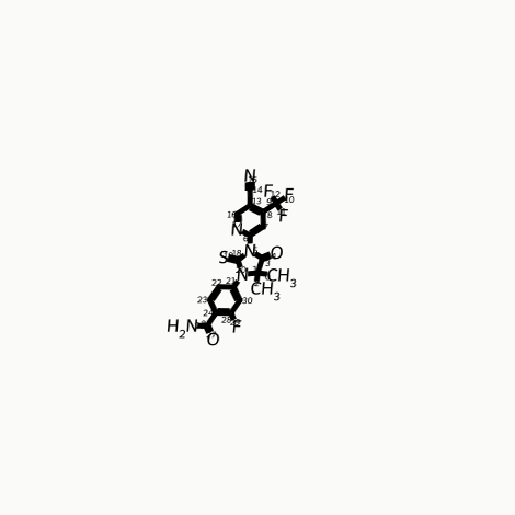 CC1(C)C(=O)N(c2cc(C(F)(F)F)c(C#N)cn2)C(=S)N1c1ccc(C(N)=O)c(F)c1